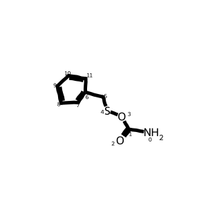 NC(=O)OSCc1ccccc1